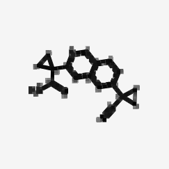 N#CC1(c2ccc3cnc(C4(C(N)=O)CC4)cc3c2)CC1